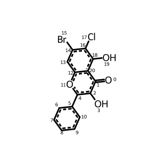 O=c1c(O)c(-c2ccccc2)oc2cc(Br)c(Cl)c(O)c12